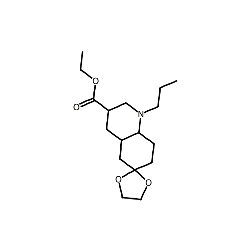 CCCN1CC(C(=O)OCC)CC2CC3(CCC21)OCCO3